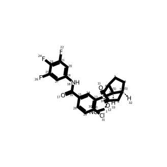 N#CC[C@@H]1CC2CC[C@@H](C1)[C@H]2S(=O)(=O)c1cc(C(=O)Nc2cc(F)c(F)c(F)c2)ccc1Cl